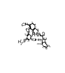 Cc1c(C(=O)NCc2ccc(Cl)c(Oc3cc(N)cc(Cl)c3)c2F)[nH]c2ccccc12